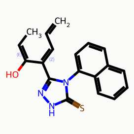 C=C/C=C(\C(O)=C/C)c1n[nH]c(=S)n1-c1cccc2ccccc12